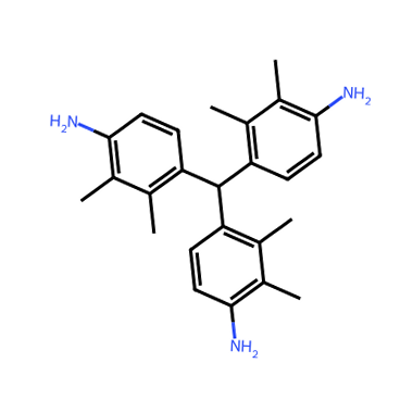 Cc1c(N)ccc(C(c2ccc(N)c(C)c2C)c2ccc(N)c(C)c2C)c1C